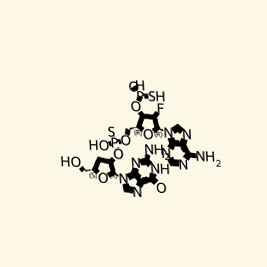 Nc1nc2c(ncn2[C@@H]2O[C@H](CO)CC2OP(O)(=S)OC[C@H]2O[C@@H](n3cnc4c(N)ncnc43)C(F)C2O[PH](=O)S)c(=O)[nH]1